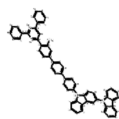 N#Cc1cc(-c2ccc(-c3ccc(-n4c5ccccc5c5cc(-n6c7ccccc7c7ccccc76)ccc54)cc3)cc2)ccc1-c1cc(-c2ccccc2)nc(-c2ccccc2)n1